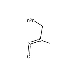 CCCCS(C)=S=O